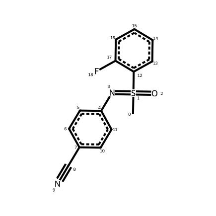 CS(=O)(=Nc1ccc(C#N)cc1)c1ccccc1F